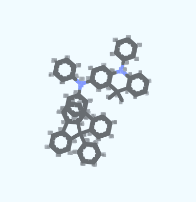 CC1(C)c2ccccc2N(c2ccccc2)c2ccc(N(c3ccccc3)c3cccc(-c4ccccc4C4(c5ccccc5)c5ccccc5-c5ccccc54)c3)cc21